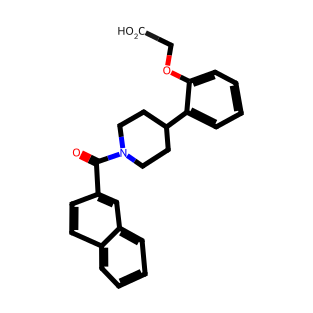 O=C(O)COc1ccccc1C1CCN(C(=O)c2ccc3ccccc3c2)CC1